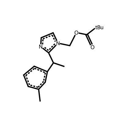 Cc1cccc(C(C)c2nccn2COC(=O)C(C)(C)C)c1